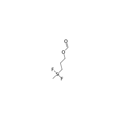 C[Si](F)(F)CCCOC=O